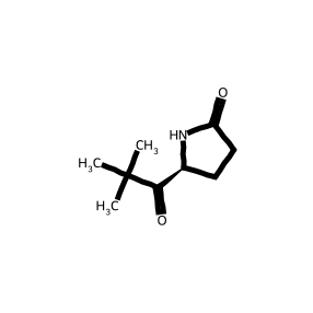 CC(C)(C)C(=O)[C@@H]1CCC(=O)N1